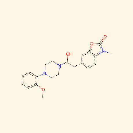 COc1ccccc1N1CCN(C(O)Cc2ccc3c(c2)oc(=O)n3C)CC1